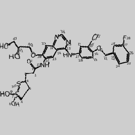 O=C(CCC1CCS(O)(O)S1)Nc1cc2c(Nc3ccc(OCc4cccc(F)c4)c(Cl)c3)ncnc2cc1OCC(O)CO